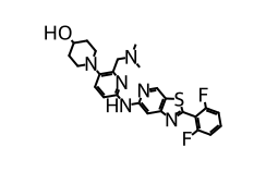 CN(C)Cc1nc(Nc2cc3nc(-c4c(F)cccc4F)sc3cn2)ccc1N1CCC(O)CC1